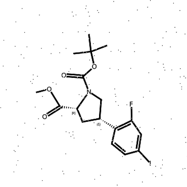 COC(=O)[C@H]1C[C@@H](c2ccc(I)cc2F)CN1C(=O)OC(C)(C)C